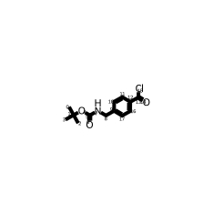 CC(C)(C)OC(=O)NCc1ccc(C(=O)Cl)cc1